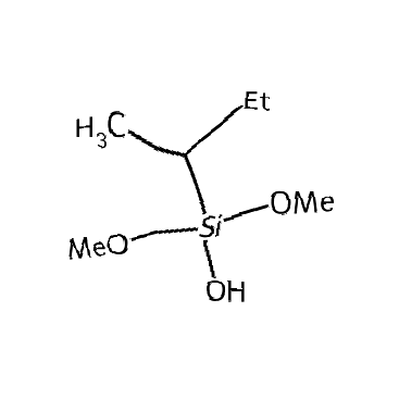 CCC(C)[Si](O)(OC)OC